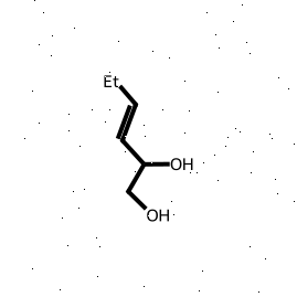 CC/C=C/C(O)CO